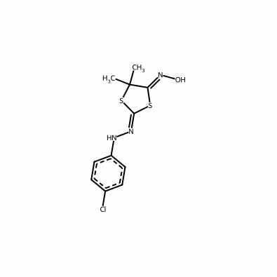 CC1(C)SC(=NNc2ccc(Cl)cc2)SC1=NO